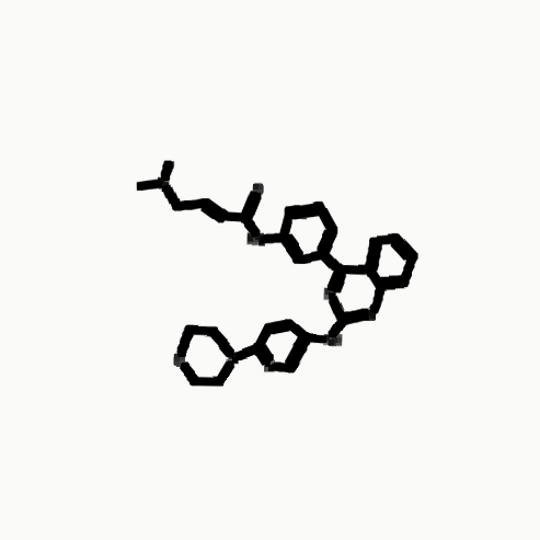 CN(C)CC=CC(=O)Nc1cccc(-c2nc(Nc3ccc(N4CCOCC4)nc3)nc3ccccc23)c1